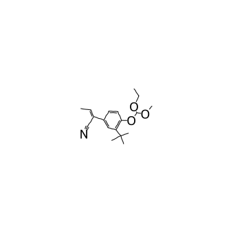 CC=C(C#N)c1ccc(OC(OC)OCC)c(C(C)(C)C)c1